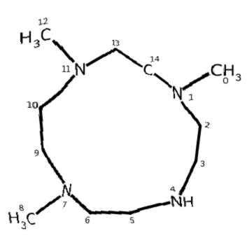 CN1CCNCCN(C)CCN(C)CC1